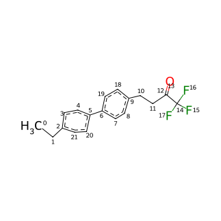 CCc1ccc(-c2ccc(CCC(=O)C(F)(F)F)cc2)cc1